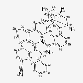 N#Cc1ccccc1-c1ccccc1-c1nc(-c2ccccc2)nc(-c2ccccc2-c2ccc(C34C[C@H]5C[C@@H](C3)C[C@@H](C4)C5)cc2)n1